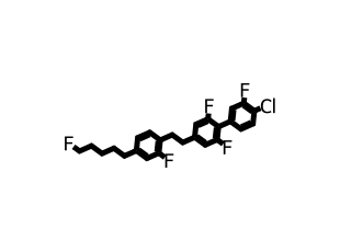 FCCCCCc1ccc(CCc2cc(F)c(-c3ccc(Cl)c(F)c3)c(F)c2)c(F)c1